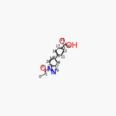 CCC(=O)n1ncc2cc(-c3ccc(C(=O)O)cc3)ccc21